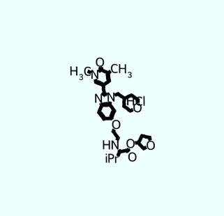 Cc1cc(-c2nc3ccc(OCCNC(C(=O)OC4CCOC4)C(C)C)cc3n2CC2CCOCC2)cn(C)c1=O.Cl